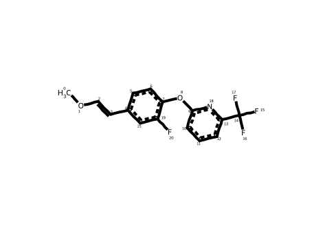 COC=Cc1ccc(Oc2cccc(C(F)(F)F)n2)c(F)c1